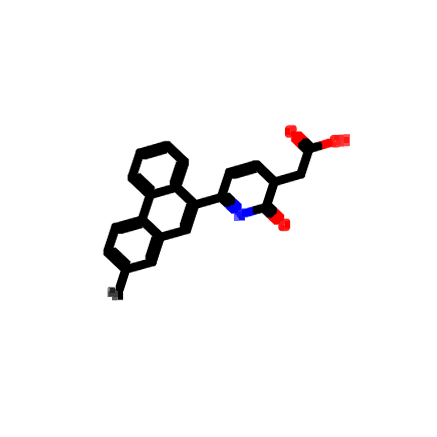 [2H]c1ccc2c(c1)cc(C1=NC(=O)C(CC(=O)O)C=C1)c1ccccc12